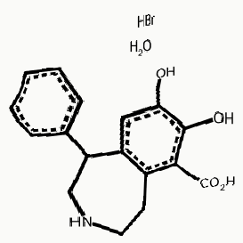 Br.O.O=C(O)c1c(O)c(O)cc2c1CCNCC2c1ccccc1